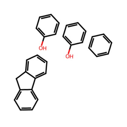 Oc1ccccc1.Oc1ccccc1.c1ccc2c(c1)Cc1ccccc1-2.c1ccccc1